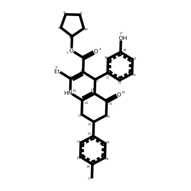 CCC1=C(C(=O)OC2CCCC2)C(c2cccc(O)c2)C2=C(CC(c3ccc(C)cc3)CC2=O)N1